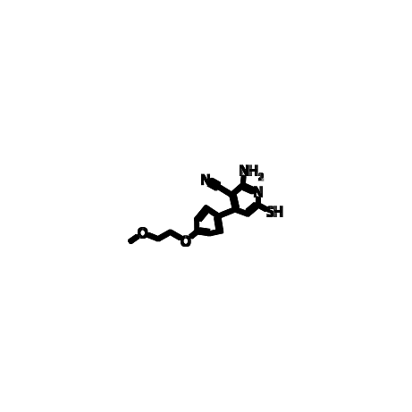 COCCOc1ccc(-c2cc(S)nc(N)c2C#N)cc1